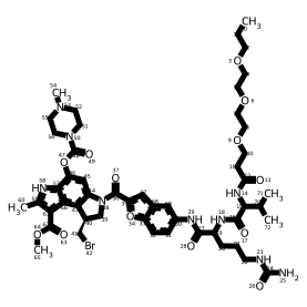 CCCOCCOCCOCCC(=O)NC(C(=O)NC(CCCNC(N)=O)C(=O)Nc1ccc2oc(C(=O)N3C[C@@H](CBr)c4c3cc(OC(=O)N3CCN(C)CC3)c3[nH]c(C)c(C(=O)OC)c43)cc2c1)C(C)C